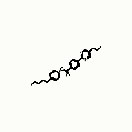 CCCCCc1ccc(OC(=O)c2ccc(-c3ncc(CCC)cn3)cc2)cc1